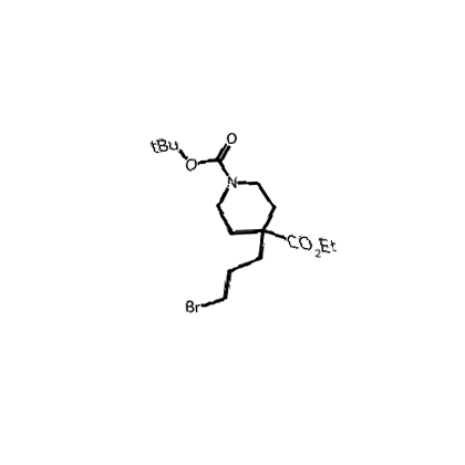 CCOC(=O)C1(CCCBr)CCN(C(=O)OC(C)(C)C)CC1